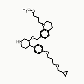 COCCCN1CCCc2ccc(COC3CNCCC3c3ccc(OCCCOCC4CC4)cc3)cc21